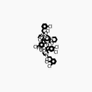 CC(CN(CC(C)C1(c2ccc(Cl)c(Cl)c2)CN(C(=O)Cc2cccc(Cl)c2Cl)CCO1)C(=O)C1(N2CCCCC2)CCNCC1)C1(c2ccc(Cl)c(Cl)c2)CN(C(=O)Cc2cccc(Cl)c2Cl)CCO1